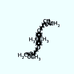 C=CC(=O)OC(C)CCC=COc1ccc(C(C)(C)c2ccc(OC=CCCC(C)OC(=O)C=C)cc2)cc1